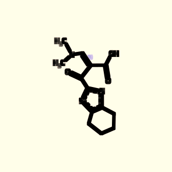 CN(C)/C=C(/C(=O)O)C(=O)c1nc2c(s1)CCCC2